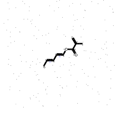 C=C(C)C(=O)O/C=C/C=C/C